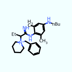 CCCCNc1cc(C)c(NC(=N)C(CC)[N+]2(Cc3ccccc3)CCCCC2)c(C)c1